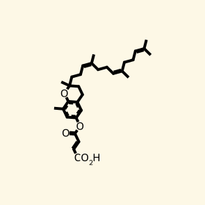 CC(C)=CCCC(C)=CCCC(C)=CCCC1(C)CCc2cc(OC(=O)C=CC(=O)O)cc(C)c2O1